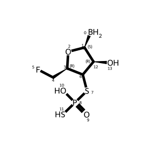 B[C@@H]1O[C@H](CF)C(SP(=O)(O)S)[C@@H]1O